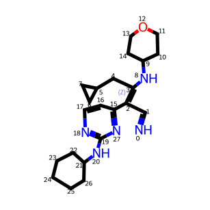 N=C/C(=C(/CC1CC1)NC1CCOCC1)c1ccnc(NC2CCCCC2)n1